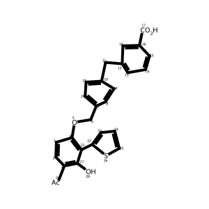 CC(=O)c1ccc(OCc2ccc(Cc3cccc(C(=O)O)c3)cc2)c(-c2cccs2)c1O